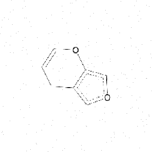 C1=COc2cocc2C1